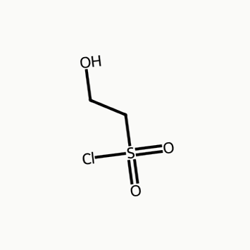 O=S(=O)(Cl)CCO